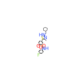 COc1ccc(-c2sc(NCC3CCCCC3)nc2C)cc1S(=O)(=O)Nc1ccc(F)cc1